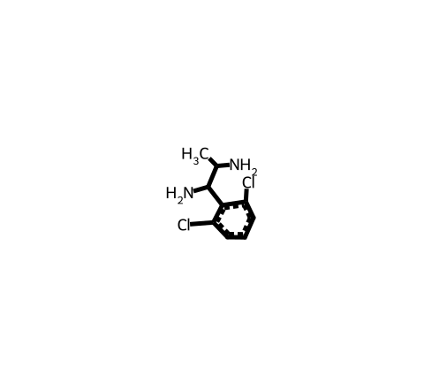 CC(N)C(N)c1c(Cl)cccc1Cl